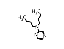 CCCCN(CCCC)c1cnccn1